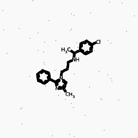 Cc1cn(CCCNC(C)c2ccc(Cl)cc2)c(-c2ccccc2)n1